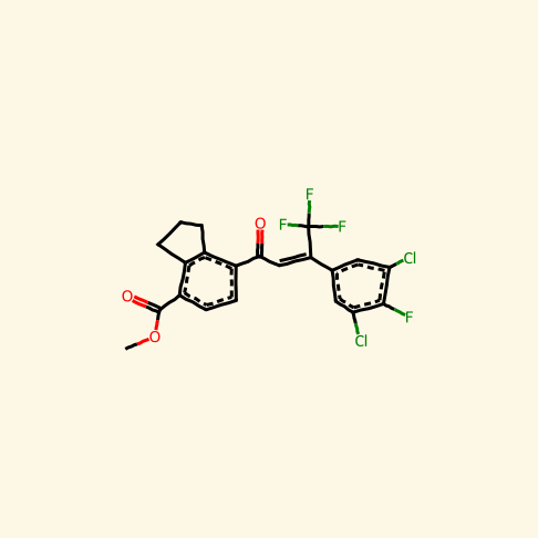 COC(=O)c1ccc(C(=O)C=C(c2cc(Cl)c(F)c(Cl)c2)C(F)(F)F)c2c1CCC2